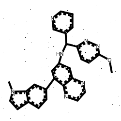 COc1ccc(C(Nc2cc(-c3ccc4ccn(C)c4c3)c3nccnc3c2)c2cccnc2)nn1